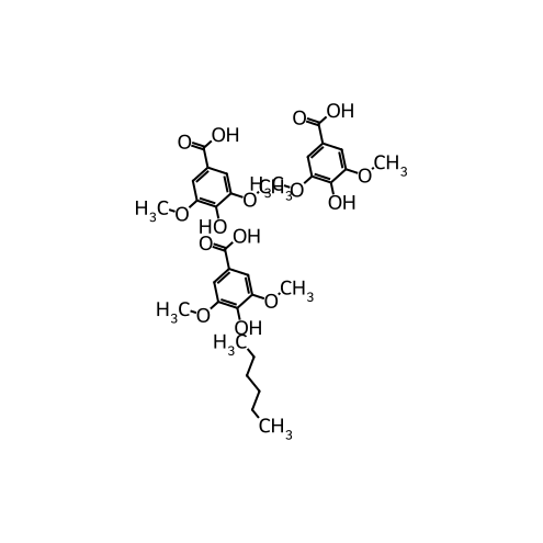 CCCCCC.COc1cc(C(=O)O)cc(OC)c1O.COc1cc(C(=O)O)cc(OC)c1O.COc1cc(C(=O)O)cc(OC)c1O